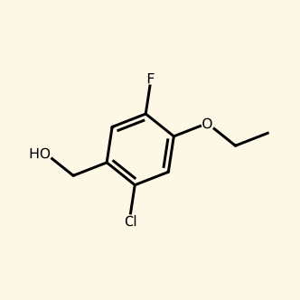 CCOc1cc(Cl)c(CO)cc1F